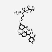 Nc1c(C(=O)c2ccc(F)cc2F)ccc(=O)n1-c1c(F)cc(OCCC[C@H](N)C(=O)OC(=O)C(F)(F)F)cc1F